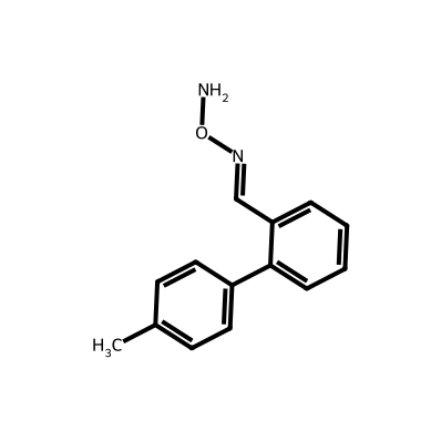 Cc1ccc(-c2ccccc2C=NON)cc1